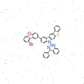 Brc1cccc2oc3ccc(-c4ccc5c(c4)c4cc6c(cc4n5-c4nc(-c5ccccc5)c5ccccc5n4)sc4ccccc46)cc3c12